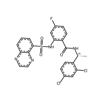 C[C@@H](NC(=O)c1ccc(F)cc1NS(=O)(=O)c1cccc2nccnc12)c1ccc(Cl)cc1Cl